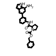 Nc1cc(-c2cccc(NC(=O)C3CCCN3C(=O)OCc3ccccc3)c2)cc2cc[nH]c12